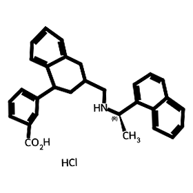 C[C@@H](NCC1Cc2ccccc2C(c2cccc(C(=O)O)c2)C1)c1cccc2ccccc12.Cl